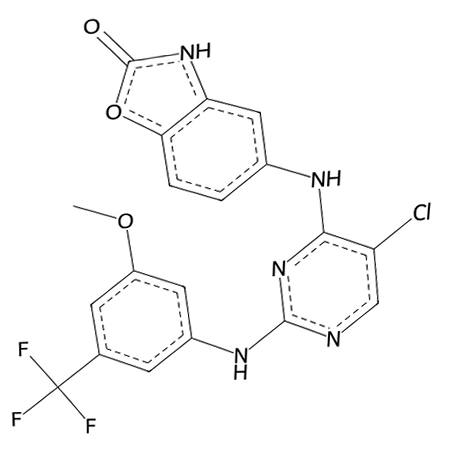 COc1cc(Nc2ncc(Cl)c(Nc3ccc4oc(=O)[nH]c4c3)n2)cc(C(F)(F)F)c1